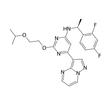 CC(C)OCCOc1nc(N[C@@H](C)c2ccc(F)cc2F)cc(-c2cnn3cccnc23)n1